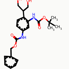 CC(C)(C)OC(=O)Nc1cc(NC(=O)OCc2ccccc2)ccc1C(CO)CO